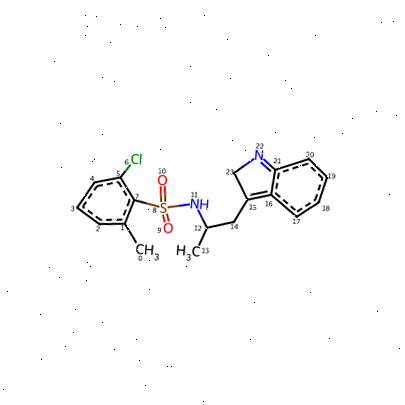 Cc1cccc(Cl)c1S(=O)(=O)NC(C)CC1=c2ccccc2=NC1